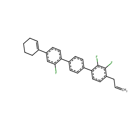 C=CCc1ccc(-c2ccc(-c3ccc(C4=CCCCC4)cc3F)cc2)c(F)c1F